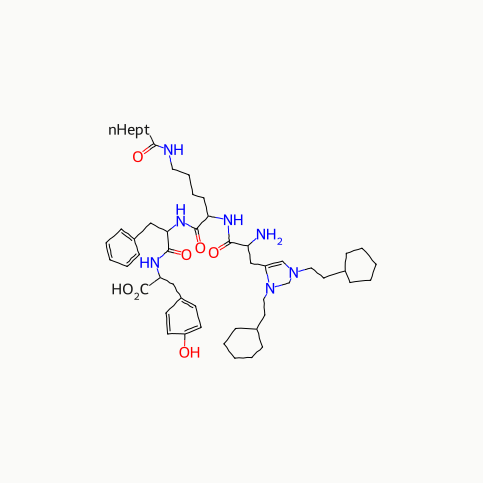 CCCCCCCC(=O)NCCCCC(NC(=O)C(N)CC1=CN(CCC2CCCCC2)CN1CCC1CCCCC1)C(=O)NC(Cc1ccccc1)C(=O)NC(Cc1ccc(O)cc1)C(=O)O